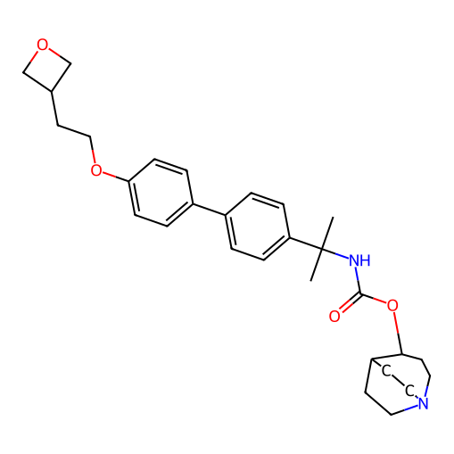 CC(C)(NC(=O)OC1CCN2CCC1CC2)c1ccc(-c2ccc(OCCC3COC3)cc2)cc1